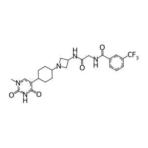 Cn1cc(C2CCC(N3CC(NC(=O)CNC(=O)c4cccc(C(F)(F)F)c4)C3)CC2)c(=O)[nH]c1=O